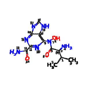 CC(C)[C@H](N)C(=O)N(O)c1nc(C(N)=O)nc2nc[nH]c12